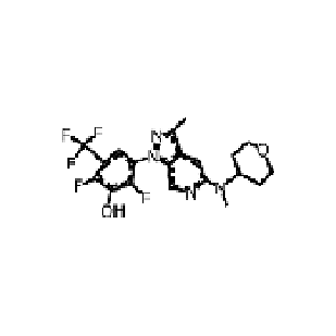 Cc1nn(-c2cc(C(F)(F)F)c(F)c(O)c2F)c2cnc(N(C)C3CCOCC3)cc12